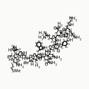 CSCCC[C@H](NC(=O)[C@H](CC(C)C)NC(=O)[C@H](Cc1c[nH]cn1)NC(=O)CNC(=O)[C@@H](NC(=O)[C@H](C)NC(=O)[C@H](Cc1c[nH]c2ccccc12)NC(=O)[C@H](CCC(N)=O)NC(=O)[C@H](CC(N)=O)NC(=O)CNC(=O)[C@H](Cc1ccc(O)cc1)NC(=O)[C@H](CCCN=C(N)N)NC(=O)[C@H](CCC(N)=O)NC(=O)[C@@H]1CCCN1C(=O)C(CNCCN)CNCCN)C(C)C)C(N)=O